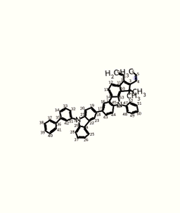 C=CC1=C(/C=C\C)C(C)(C)c2c1ccc1c3cc(-c4ccc5c(c4)c4ccccc4n5-c4cccc(-c5ccccc5)c4)ccc3n(-c3ccccc3)c21